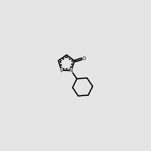 O=c1ccsn1C1CCCCC1